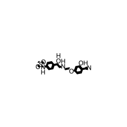 CS(=O)(=O)Nc1ccc(C(O)CNCCOc2ccc(C#N)c(O)c2)cc1